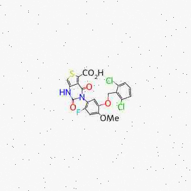 COc1cc(F)c(-n2c(=O)[nH]c3csc(C(=O)O)c3c2=O)cc1OCc1c(Cl)cccc1Cl